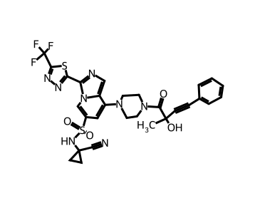 CC(O)(C#Cc1ccccc1)C(=O)N1CCN(c2cc(S(=O)(=O)NC3(C#N)CC3)cn3c(-c4nnc(C(F)(F)F)s4)ncc23)CC1